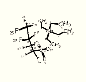 CC[N+](CC)(CC)CC.O=S(=O)([O-])C(F)(F)C(F)(F)C(F)(F)C(F)(F)F